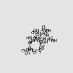 CCC(=O)[C@@H]1CSSC[C@H](NC(=O)[C@@H](CCC(=O)O)CC(=O)[C@H](Cc2c[nH]c3ccccc23)NC(=O)CCC(C(=O)O)N2CCN(CC(=O)O)CCN(CC(=O)O)CC2)C(=O)N2C[C@H](O)C[C@H]2C(=O)C[C@@H](Cc2ccc(O)c(Cl)c2)C(=O)NCC(=O)C[C@@H](CC(C)C)C(=O)N1